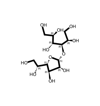 OC[C@@H](O)[C@@H](O)[C@H](O[C@H]1O[C@@H]([C@H](O)CO)[C@H](O)[C@H]1O)[C@H](O)CO